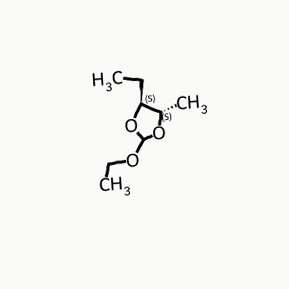 CCOC1O[C@@H](C)[C@H](CC)O1